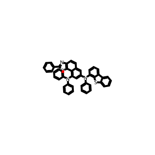 c1ccc(-c2nc3ccc4cc(N(c5ccccc5)c5cccc6c5sc5ccccc56)cc(N(c5ccccc5)c5ccccc5)c4c3o2)cc1